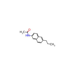 CCCc1ccc2cc(NC(C)=O)ccc2c1